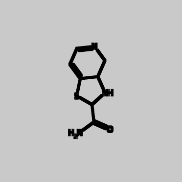 NC(=O)C1NC2CN=CC=C2S1